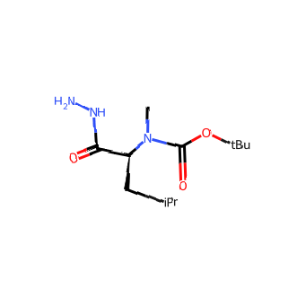 CC(C)C[C@@H](C(=O)NN)N(C)C(=O)OC(C)(C)C